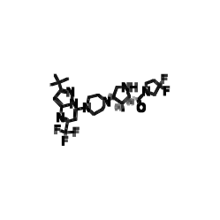 C[C@@H]1[C@@H](C(=O)N2CCC(F)(F)C2)NC[C@H]1N1CCN(c2cc(C(F)(F)F)nc3cc(C(C)(C)C)nn23)CC1